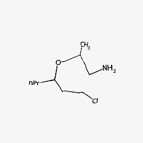 CCCC(CCCl)OC(C)CN